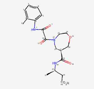 Cc1ccccc1NC(=O)C(=O)N1CCOC[C@@H](C(=O)N[C@H](C)CC(=O)O)C1